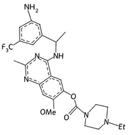 CCN1CCN(C(=O)Oc2cc3c(NC(C)c4cc(N)cc(C(F)(F)F)c4)nc(C)nc3cc2OC)CC1